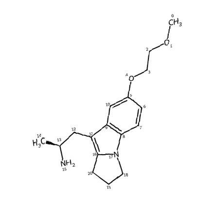 COCCOc1ccc2c(c1)c(C[C@H](C)N)c1n2CCC1